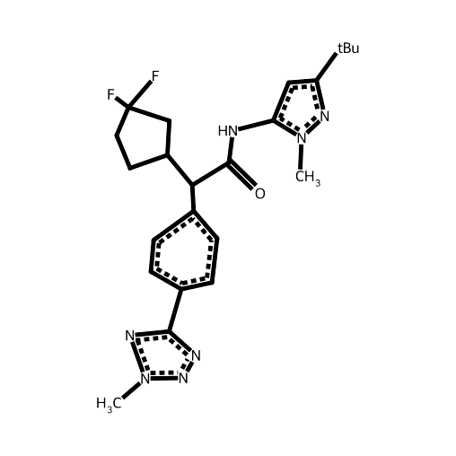 Cn1nnc(-c2ccc(C(C(=O)Nc3cc(C(C)(C)C)nn3C)C3CCC(F)(F)C3)cc2)n1